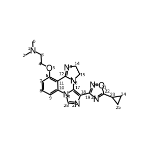 CN(C)CCOc1cccc2c1C1=NCCN1c1c(-c3noc(C4CC4)n3)ncn1-2